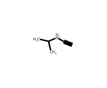 [C]#C[SiH2]C(C)C